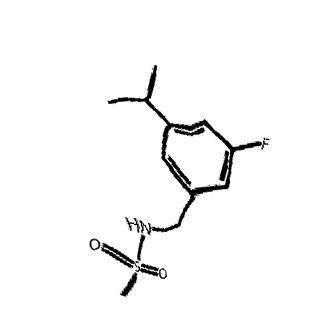 CC(C)c1cc(F)cc(CNS(C)(=O)=O)c1